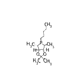 CCCCCP1[C@@H](C)[C@H]2OC(C)(C)O[C@@H]2[C@@H]1C